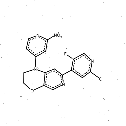 O=[N+]([O-])c1cc(N2CCOc3cnc(-c4cc(Cl)ncc4F)cc32)ccn1